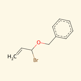 C=CC(Br)OCc1ccccc1